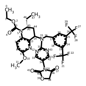 CCOC(=O)N1c2ccc(OC)nc2C(N(Cc2cc(C(F)(F)F)cc(C(F)(F)F)c2)c2ncc(N3C(=O)COC3=O)cn2)C[C@H]1CC